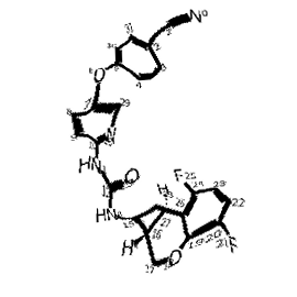 N#Cc1ccc(Oc2ccc(NC(=O)N[C@@H]3[C@H]4COc5c(F)ccc(F)c5[C@@H]43)nc2)cc1